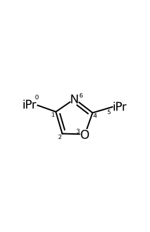 CC(C)c1coc(C(C)C)n1